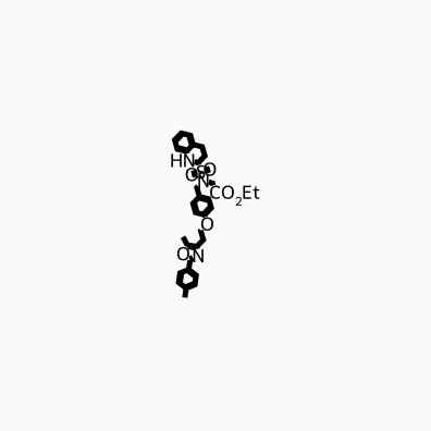 CCOC(=O)CN(Cc1ccc(OCCc2nc(-c3ccc(C)cc3)oc2C)cc1)S(=O)(=O)C1CCc2ccccc2N1